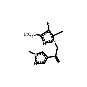 C=C(Cn1nc(C(=O)OCC)c(Br)c1C)c1cnn(C)c1